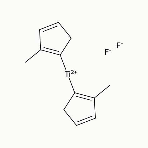 CC1=[C]([Ti+2][C]2=C(C)C=CC2)CC=C1.[F-].[F-]